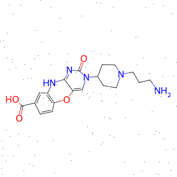 NCCCN1CCC(n2cc3c(nc2=O)Nc2cc(C(=O)O)ccc2O3)CC1